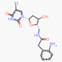 CCc1cn([C@@H]2CC(O)[C@H](CNC(=O)Cc3ccccc3N)O2)c(=O)[nH]c1=O